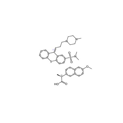 CN1CCN(CC/C=C2/c3ccccc3Sc3ccc(S(=O)(=O)N(C)C)cc32)CC1.COc1ccc2cc([C@H](C)C(=O)O)ccc2c1